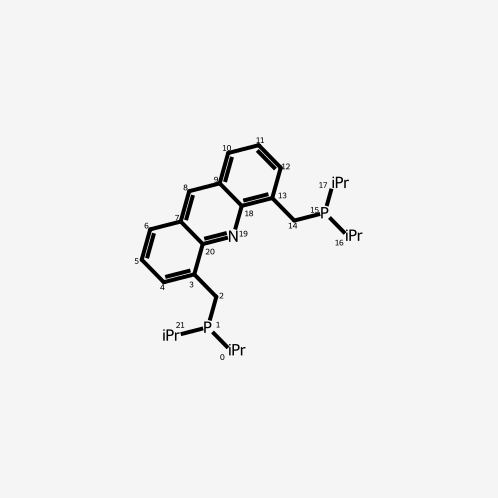 CC(C)P(Cc1cccc2cc3cccc(CP(C(C)C)C(C)C)c3nc12)C(C)C